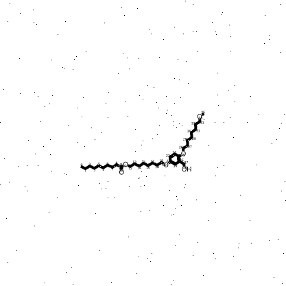 CCCCCCCCCC(=O)OCCCCCCCCOc1ccc(OCCCCCCCCOC)c(CO)c1